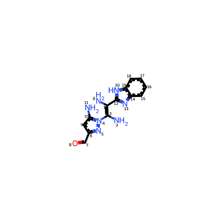 N/C(=C(/N)n1nc(C=O)cc1N)c1nc2ccccc2[nH]1